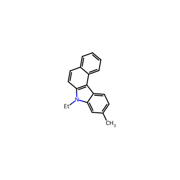 CCn1c2cc(C)ccc2c2c3ccccc3ccc21